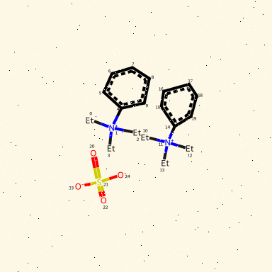 CC[N+](CC)(CC)c1ccccc1.CC[N+](CC)(CC)c1ccccc1.O=S(=O)([O-])[O-]